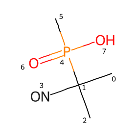 CC(C)(N=O)P(C)(=O)O